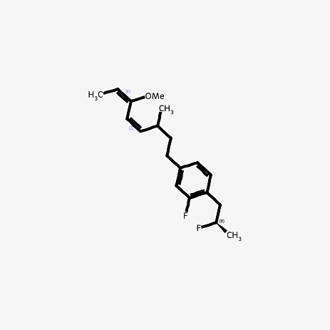 C/C=C(\C=C/C(C)CCc1ccc(C[C@@H](C)F)c(F)c1)OC